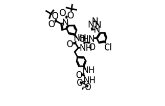 CC(C)(C)OC(=O)c1cc2cc(NC(=O)C(Cc3ccc(NC(=O)NS(C)(=O)=O)cc3)NC(=O)C(=O)Nc3cc(Cl)ccc3-n3cnnn3)ccc2n1C(=O)OC(C)(C)C